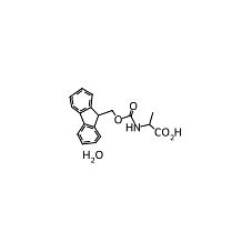 CC(NC(=O)OCC1c2ccccc2-c2ccccc21)C(=O)O.O